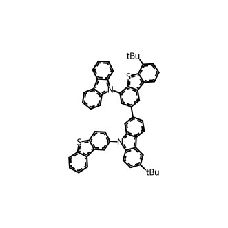 CC(C)(C)c1ccc2c(c1)c1ccc(-c3cc(-n4c5ccccc5c5ccccc54)c4sc5c(C(C)(C)C)cccc5c4c3)cc1n2-c1ccc2sc3ccccc3c2c1